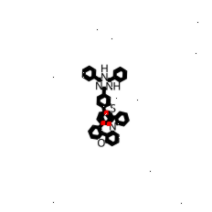 c1ccc(C2=NC(c3ccc4c(c3)sc3ccc(-c5cccc6oc7cccc(-n8c9ccccc9c9ccccc98)c7c56)cc34)NC(c3ccccc3)N2)cc1